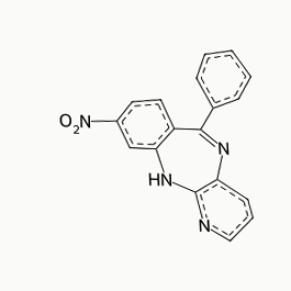 O=[N+]([O-])c1ccc2c(c1)Nc1ncccc1N=C2c1ccccc1